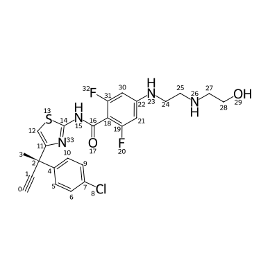 C#C[C@@](C)(c1ccc(Cl)cc1)c1csc(NC(=O)c2c(F)cc(NCCNCCO)cc2F)n1